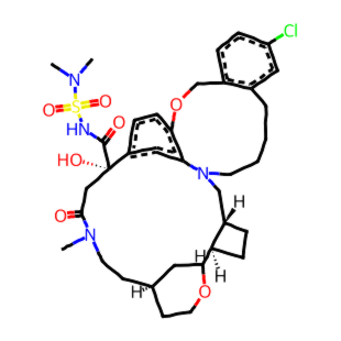 CN1CC[C@@H]2CCO[C@@H](C2)[C@@H]2CC[C@H]2CN2CCCCc3cc(Cl)ccc3COc3ccc(cc32)[C@](O)(C(=O)NS(=O)(=O)N(C)C)CC1=O